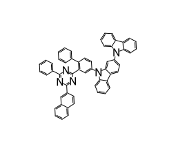 c1ccc(-c2nc(-c3ccc4ccccc4c3)nc(-c3cc(-n4c5ccccc5c5ccc(-n6c7ccccc7c7ccccc76)cc54)ccc3-c3ccccc3)n2)cc1